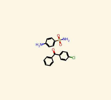 Nc1ccc(S(N)(=O)=O)cc1.O=C(c1ccccc1)c1ccc(Cl)cc1